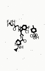 Cc1ccc(S(=O)(=O)O)cc1.O=C(Cn1nc(C2CN(C(=O)c3ccnc(NC4CC4)c3)C2)c2c(Cl)c(F)ccc21)NCC(F)(F)F